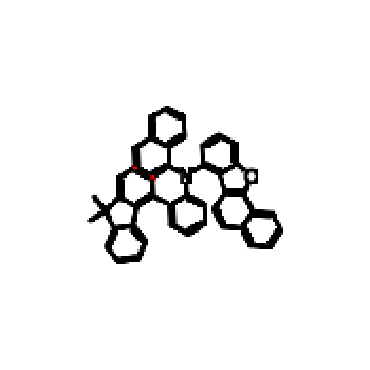 CC1(C)c2ccccc2-c2c(-c3ccccc3N(c3cccc4ccccc34)c3cccc4oc5c6ccccc6ccc5c34)cccc21